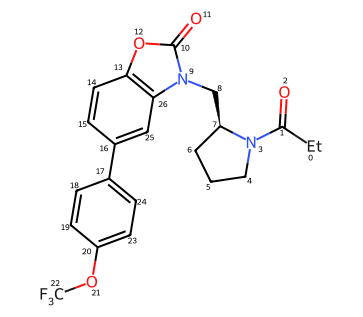 CCC(=O)N1CCC[C@H]1Cn1c(=O)oc2ccc(-c3ccc(OC(F)(F)F)cc3)cc21